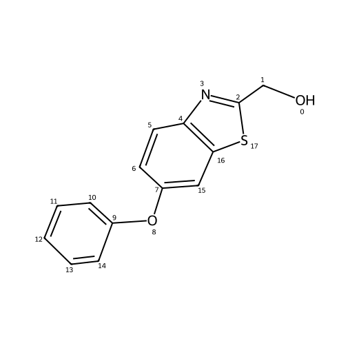 OCc1nc2ccc(Oc3ccccc3)cc2s1